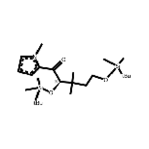 Cn1cccc1C(=O)[C@H](O[Si](C)(C)C(C)(C)C)C(C)(C)CCO[Si](C)(C)C(C)(C)C